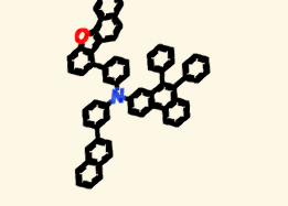 c1ccc(-c2c(-c3ccccc3)c3cc(N(c4cccc(-c5ccc6ccccc6c5)c4)c4cccc(-c5cccc6oc7c8ccccc8ccc7c56)c4)ccc3c3ccccc23)cc1